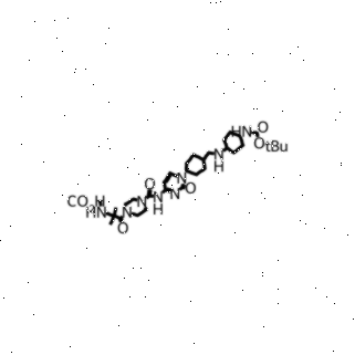 CC(C)(C)OC(=O)NC1CCC(NCC2CCC(n3ccc(NC(=O)N4CCN(C(=O)C(C)(C)NC(=O)O)CC4)nc3=O)CC2)CC1